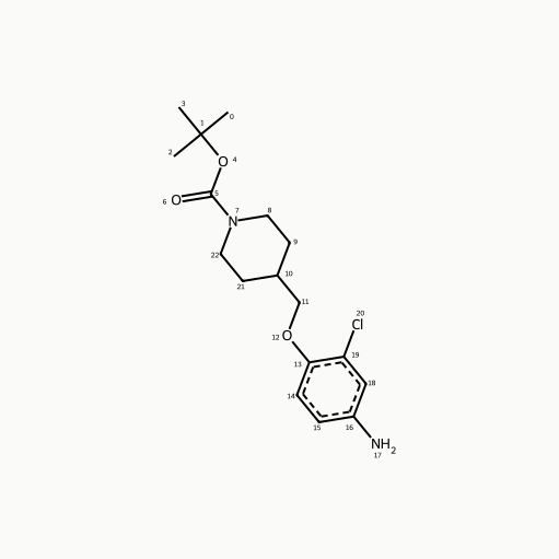 CC(C)(C)OC(=O)N1CCC(COc2ccc(N)cc2Cl)CC1